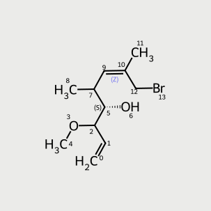 C=CC(OC)[C@@H](O)C(C)/C=C(/C)CBr